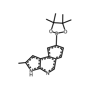 Cc1cc2c(ncc3ccc(B4OC(C)(C)C(C)(C)O4)cc32)[nH]1